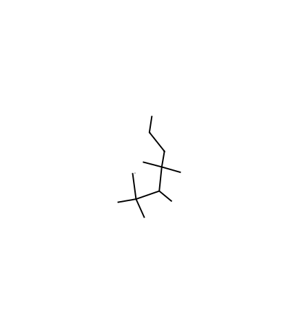 [CH2]C(C)(C)C(C)C(C)(C)CCC